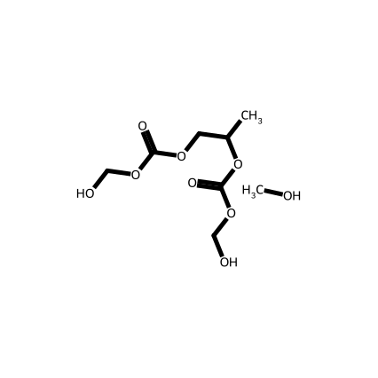 CC(COC(=O)OCO)OC(=O)OCO.CO